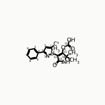 Cc1cc(-c2ccccc2)nn1C1=C(OC(=O)O)C(C)(C)NC1=O